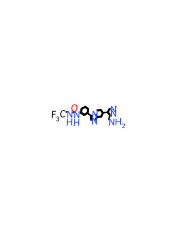 Cn1cc(-c2ccn3c(-c4cccc(NC(=O)NCC(F)(F)F)c4)cnc3c2)c(CN)n1